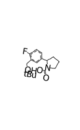 CC(C)(C)OC(=O)N1CCCC1c1ccc(F)c(CO)c1